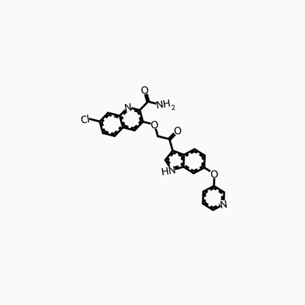 NC(=O)c1nc2cc(Cl)ccc2cc1OCC(=O)c1c[nH]c2cc(Oc3cccnc3)ccc12